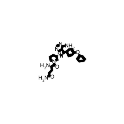 NC(=O)CC[C@H](N)C(=O)N1CCC[C@@H](n2nc(C3C=CC(Oc4ccccc4)=CC3)c3c(N)ncnc32)C1